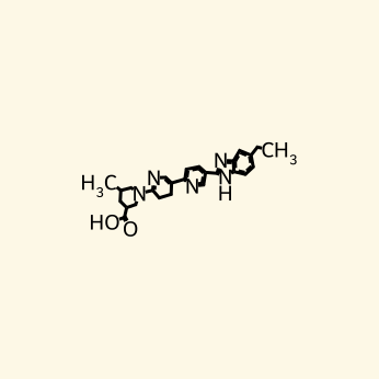 CCc1ccc2[nH]c(-c3ccc(C4=CN=C(N5CC(C)CC(C(=O)O)C5)CC4)nc3)nc2c1